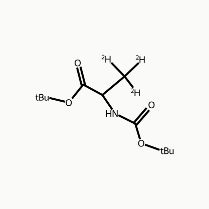 [2H]C([2H])([2H])C(NC(=O)OC(C)(C)C)C(=O)OC(C)(C)C